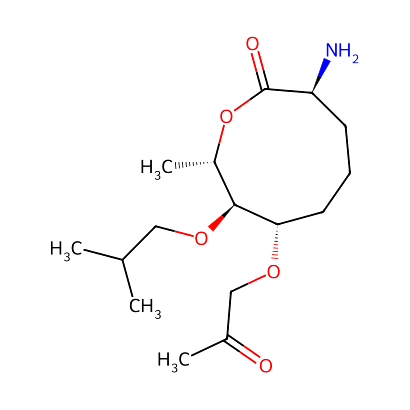 CC(=O)CO[C@H]1CCC[C@H](N)C(=O)O[C@@H](C)[C@@H]1OCC(C)C